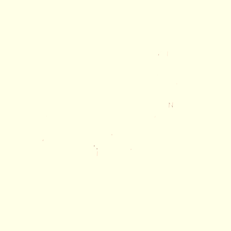 Cc1cnc2c(c1)CC(NC1CCCCC1)CC2